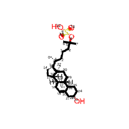 C[C@H](CCCC(C)(C)OS(=O)(=O)O)[C@H]1CC[C@H]2[C@@H]3CC=C4C[C@@H](O)CC[C@]4(C)[C@H]3CC[C@]12C